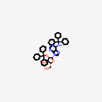 OC[C@H]1O[C@@H](n2cnc3c(NC(c4ccccc4)(c4ccccc4)c4ccccc4)ncnc32)[C@H](OC(c2ccccc2)(c2ccccc2)c2ccccc2)[C@@H]1O